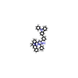 CC1(C)c2cc3ccccc3cc2-c2c(/C=C/C(NC(N)c3ccccc3)c3cccc(-c4ccc5c(c4)c4ccccc4n5-c4ccccc4)c3)cccc21